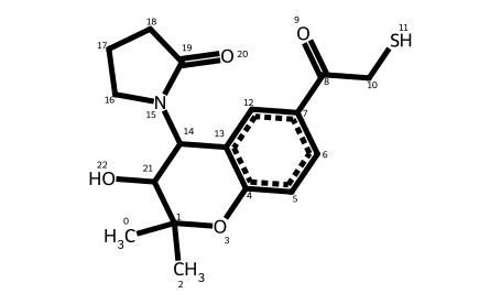 CC1(C)Oc2ccc(C(=O)CS)cc2C(N2CCCC2=O)C1O